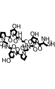 N[C@@H](CS)C(=O)N1C[C@H](O)C[C@H]1C(=O)NCC(=O)N1CCC[C@H]1C(=O)N1C[C@H](O)C[C@H]1C(=O)NCC(=O)N1CCC[C@H]1C(=O)N1C[C@H](O)C[C@H]1C(=O)NCC(=O)O